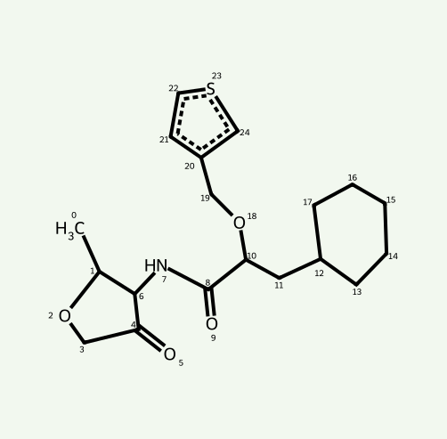 CC1OCC(=O)C1NC(=O)C(CC1CCCCC1)OCc1ccsc1